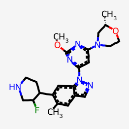 COc1nc(N2CCO[C@@H](C)C2)cc(-n2ncc3cc(C)c(C4CCNCC4F)cc32)n1